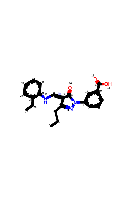 CCCC1=NN(c2cccc(C(=O)O)c2)C(=O)/C1=C/Nc1ccccc1CC